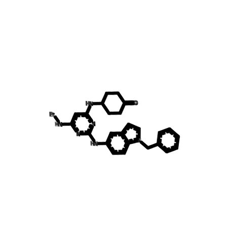 CCNc1cc(NC2CCC(=O)CC2)nc(Nc2ccc3c(ccn3Cc3ccccc3)c2)n1